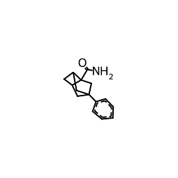 NC(=O)C12CC3(c4ccccc4)CC1CC2C3